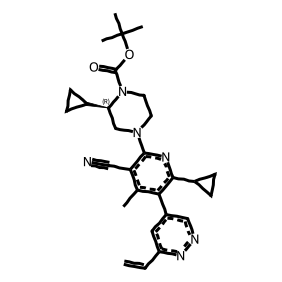 C=Cc1cc(-c2c(C3CC3)nc(N3CCN(C(=O)OC(C)(C)C)[C@H](C4CC4)C3)c(C#N)c2C)cnn1